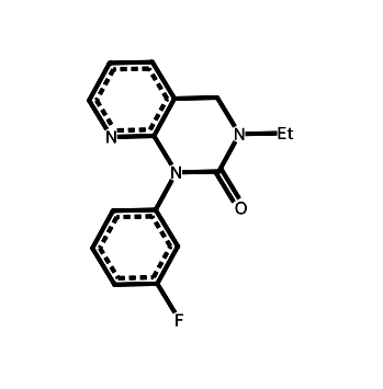 CCN1Cc2cccnc2N(c2cccc(F)c2)C1=O